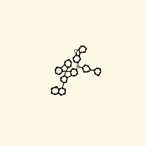 c1ccc(-c2ccc(N(c3ccc4c(c3)C3(c5ccccc5-c5ccccc53)c3ccc(-c5cccc6ccccc56)cc3-4)c3ccc4oc5ccccc5c4c3)cc2)cc1